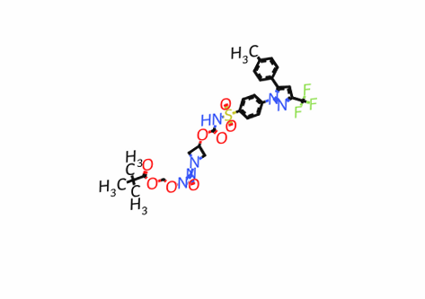 Cc1ccc(-c2cc(C(F)(F)F)nn2-c2ccc(S(=O)(=O)NC(=O)OC3CN(n4on4OCOC(=O)C(C)(C)C)C3)cc2)cc1